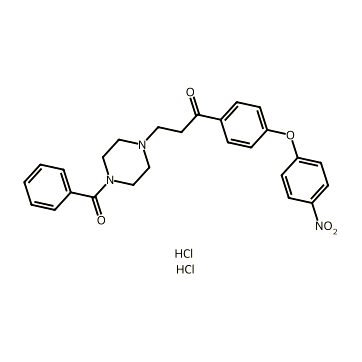 Cl.Cl.O=C(CCN1CCN(C(=O)c2ccccc2)CC1)c1ccc(Oc2ccc([N+](=O)[O-])cc2)cc1